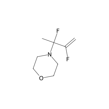 C=C(F)C(C)(F)N1CCOCC1